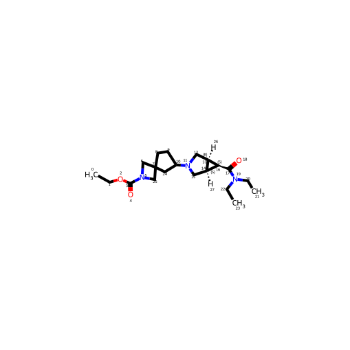 CCOC(=O)N1CC2(CCC(N3C[C@@H]4[C@H](C3)[C@@H]4C(=O)N(CC)CC)C2)C1